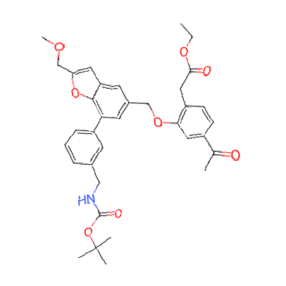 CCOC(=O)Cc1ccc(C(C)=O)cc1OCc1cc(-c2cccc(CNC(=O)OC(C)(C)C)c2)c2oc(COC)cc2c1